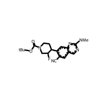 CNc1ncc2cc(C#N)c(C3CCN(C(=O)OC(C)(C)C)CC3F)cc2n1